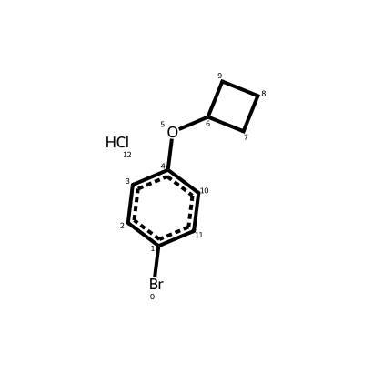 Brc1ccc(OC2CCC2)cc1.Cl